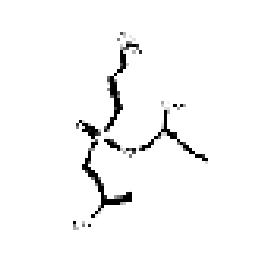 CC(=O)OC(C)CP(=O)(CCO)OC(C)OC(C)=O